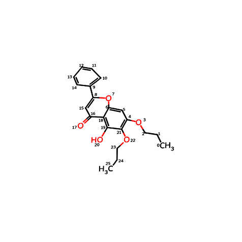 CCCOc1cc2oc(-c3ccccc3)cc(=O)c2c(O)c1OCCC